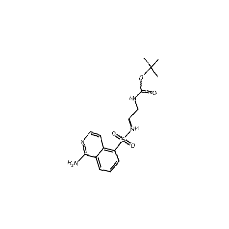 CC(C)(C)OC(=O)NCCNS(=O)(=O)c1cccc2c(N)nccc12